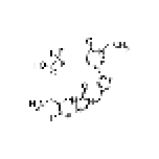 CCn1cc(-c2ccc(Cn3cnn(CC(CN)=C(F)F)c3=O)s2)ccc1=O.O=C(O)C(F)(F)F